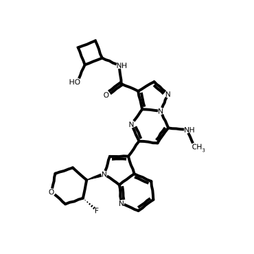 CNc1cc(-c2cn([C@@H]3CCOC[C@H]3F)c3ncccc23)nc2c(C(=O)NC3CCC3O)cnn12